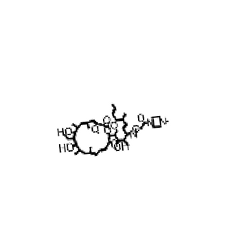 C/C=C/C(O)C(C)/C=C/C(=N\OCC(=O)N1CCN(C)CC1)C(C)C(O)C(C)C1OC(=O)/C(OC)=C/C(C)=C/C(C)C(O)C(CC)C(O)C(C)C/C(C)=C/C=C/C1OC